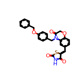 O=C1NC(=O)C(=Cc2ccc3c(c2)N(Cc2ccc(OCc4ccccc4)cc2)C(=O)CO3)S1